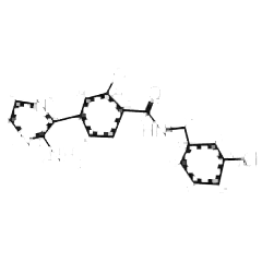 Nc1nccnc1-c1ccc(C(=O)NCc2cccc(Cl)c2)c(F)c1